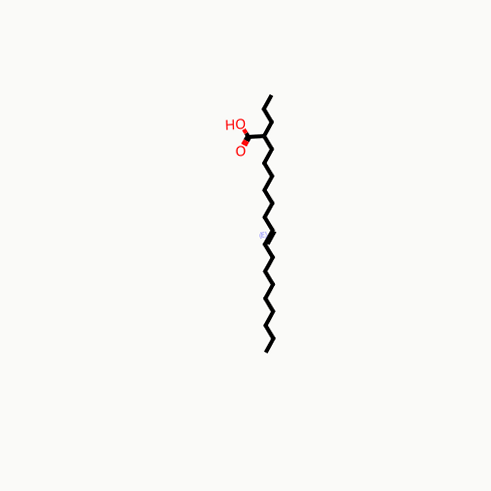 CCCCCCCC/C=C/CCCCCCC(CCC)C(=O)O